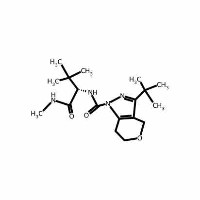 CNC(=O)[C@@H](NC(=O)n1nc(C(C)(C)C)c2c1CCOC2)C(C)(C)C